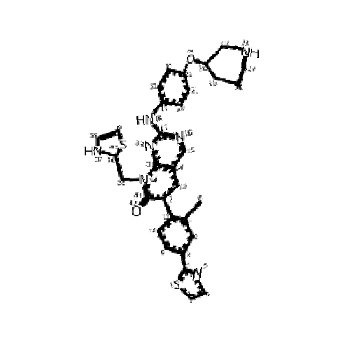 Cc1cc(-c2nccs2)ccc1-c1cc2cnc(Nc3ccc(OC4CCCNC4)cc3)nc2n(CC2NC=CS2)c1=O